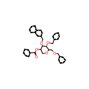 O=C(OC1COC(COCc2ccccc2)[C@H](OCc2ccccc2)C1OCc1ccc2ccccc2c1)c1ccccc1